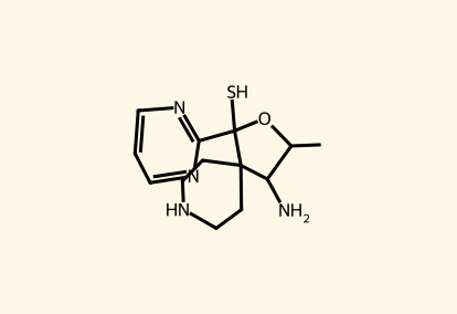 CC1OC(S)(c2ncccn2)C2(CCNCC2)C1N